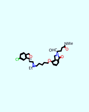 CCN(CCCCCOc1cccc2c1CN(C(C=O)CCC(=O)NC)C2=O)CC[C@@H]1OCc2ccc(Cl)cc21